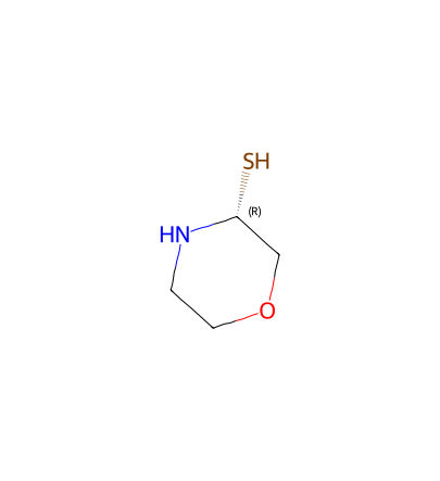 S[C@@H]1COCCN1